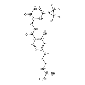 CC1(C)C(C(=O)N[C@@H](CNC(=O)c2ccc(OCCNC(=N)N)cc2O)C(=O)O)C1(C)C